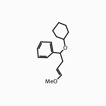 COC=CCC(OC1CCCCC1)c1ccccc1